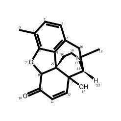 Cc1ccc2c3c1OC1C(=O)C=CC4(O)[C@@H](C2)N(C)CC[C@]314